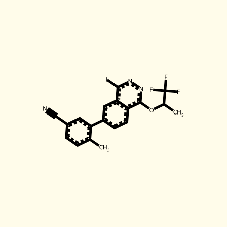 Cc1ccc(C#N)cc1-c1ccc2c(OC(C)C(F)(F)F)nnc(I)c2c1